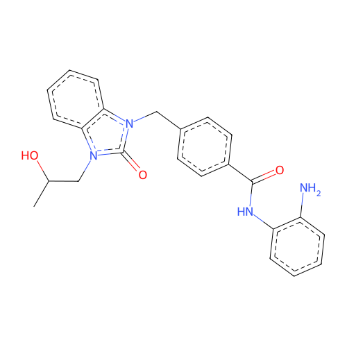 CC(O)Cn1c(=O)n(Cc2ccc(C(=O)Nc3ccccc3N)cc2)c2ccccc21